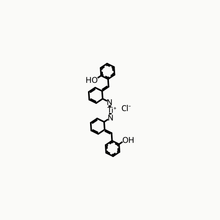 Oc1ccccc1C=C1C=CC=CC1[N]=[Ti+]=[N]C1C=CC=CC1=Cc1ccccc1O.[Cl-]